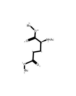 CCC(C)OC(=O)CC[C@H](NC(C)=O)C(=O)OC(C)CC